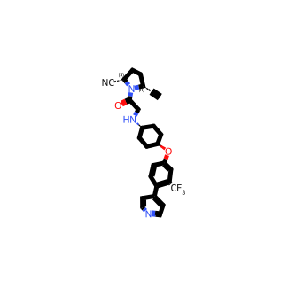 C#C[C@H]1CC[C@@H](C#N)N1C(=O)CN[C@H]1CC[C@H](Oc2ccc(-c3ccncc3)c(C(F)(F)F)c2)CC1